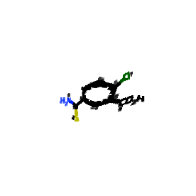 NC(=S)c1ccc(Cl)c(C(=O)O)c1